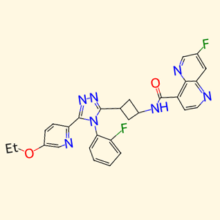 CCOc1ccc(-c2nnc(C3CC(NC(=O)c4ccnc5cc(F)cnc45)C3)n2-c2ccccc2F)nc1